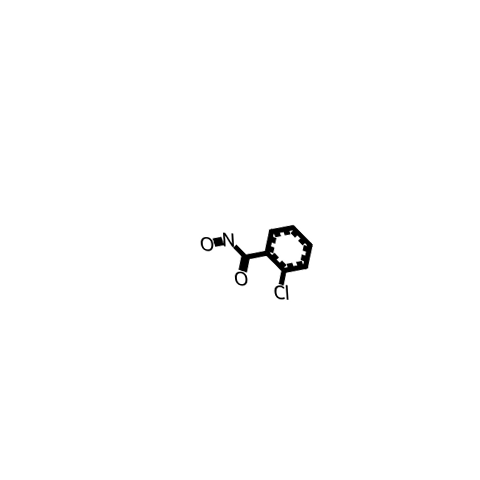 O=NC(=O)c1ccccc1Cl